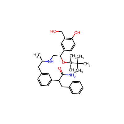 C[C@H](Cc1cccc(C(Cc2ccccc2)C(N)=O)c1)NC[C@H](O[Si](C)(C)C(C)(C)C)c1ccc(O)c(CO)c1